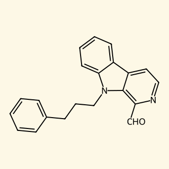 O=Cc1nccc2c3ccccc3n(CCCc3ccccc3)c12